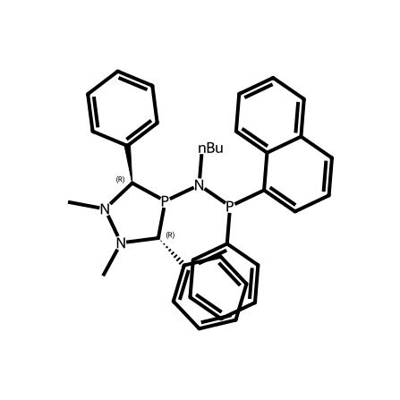 CCCCN(P(c1ccccc1)c1cccc2ccccc12)P1[C@H](c2ccccc2)N(C)N(C)[C@H]1c1ccccc1